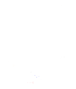 NC(/C=C/c1ccc(OCCCc2cccc(Br)c2)c(C(F)(F)F)c1)(CO)COP(=O)(O)O